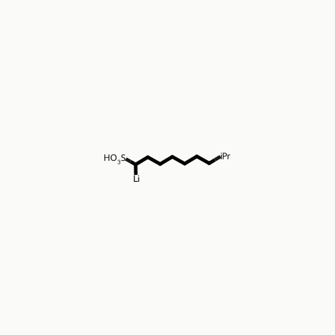 [Li][CH](CCCCCCC(C)C)S(=O)(=O)O